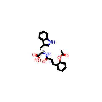 CC(=O)Oc1ccccc1/C=C/C(=O)N[C@@H](Cc1c[nH]c2ccccc12)C(=O)O